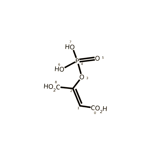 O=C(O)C=C(OP(=O)(O)O)C(=O)O